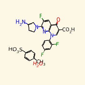 Cc1ccc(S(=O)(=O)O)cc1.NC1CCN(c2nc3c(cc2F)c(=O)c(C(=O)O)cn3-c2ccc(F)cc2F)C1.O